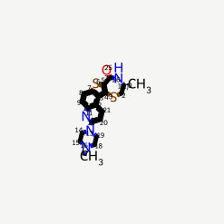 C[C@@H]1CSc2c(sc3ccc4nc(N5CCN(C)CC5)ccc4c23)C(=O)N1